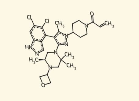 C=CC(=O)N1CCC(n2nc(N3C[C@H](C)N(C4COC4)CC3(C)C)c(-c3c(Cl)c(Cl)cc4[nH]ncc34)c2C)CC1